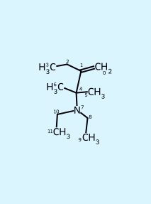 C=C(CC)C(C)(C)N(CC)CC